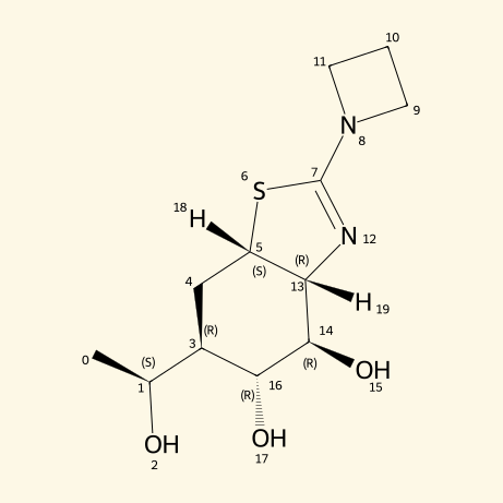 C[C@H](O)[C@H]1C[C@@H]2SC(N3CCC3)=N[C@@H]2[C@@H](O)[C@@H]1O